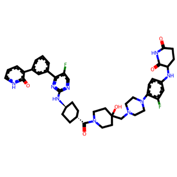 O=C1CCC(Nc2ccc(N3CCN(CC4(O)CCN(C(=O)[C@H]5CC[C@H](Nc6ncc(F)c(-c7cccc(-c8ccc[nH]c8=O)c7)n6)CC5)CC4)CC3)c(F)c2)C(=O)N1